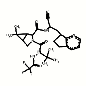 CC1(C)C2CN(C(=O)[C@@H](NC(=O)C(F)(F)F)C(C)(C)C)C(C(=O)NC(C#N)CC3CCc4cccnc43)C21